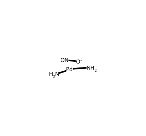 O=[NH+][O-].[NH2][Pd][NH2]